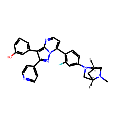 CN1C[C@@H]2C[C@H]1CN2c1ccc(-c2ccnc3c(-c4cccc(O)c4)c(-c4ccncc4)nn23)c(F)c1